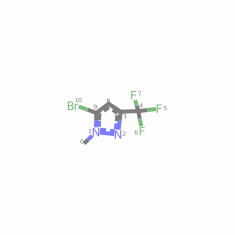 Cn1nc(C(F)(F)F)cc1Br